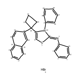 Br.c1ccc(N=c2scc(C3(c4ccc5ccccc5c4)CCC3)n2-c2ccccc2)cc1